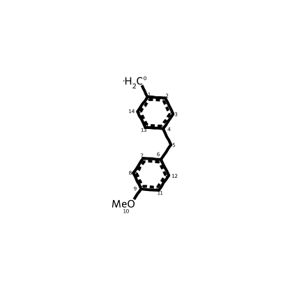 [CH2]c1ccc(Cc2ccc(OC)cc2)cc1